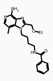 CCOCc1nc2c(N)ncc(C)c2n1CCCCNC(=O)c1ccccc1